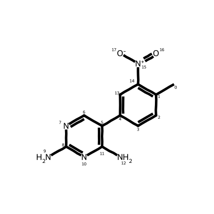 Cc1ccc(-c2cnc(N)nc2N)cc1[N+](=O)[O-]